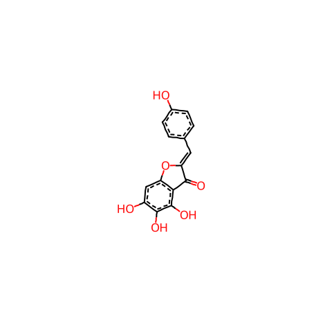 O=C1/C(=C/c2ccc(O)cc2)Oc2cc(O)c(O)c(O)c21